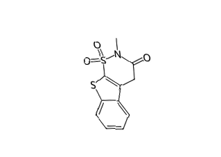 CN1C(=O)Cc2c(sc3ccccc23)S1(=O)=O